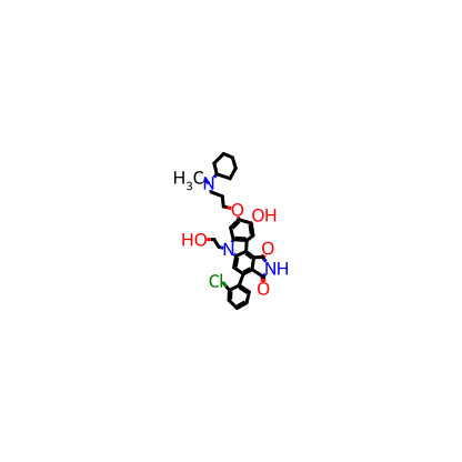 CN(CCCOc1cc2c(cc1O)c1c3c(c(-c4ccccc4Cl)cc1n2CCO)C(=O)NC3=O)C1CCCCC1